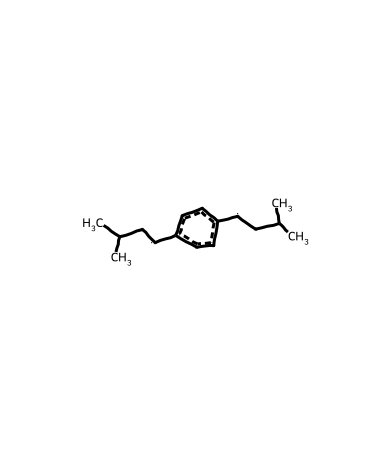 CC(C)C[CH]c1ccc([CH]CC(C)C)cc1